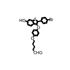 O=CCCCCOc1ccc(Oc2c(-c3ccc(Br)cc3)sc3cc(O)ccc23)cc1